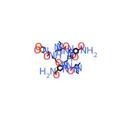 CCn1nc(C)cc1C(=O)Nc1nc2cc(C(N)=O)cc(OCCCNC(=O)CN3CCS(=O)(=O)CC3)c2n1CCC[C@H]1COc2cc(C(N)=O)cc3nc(NC(=O)c4cc(C)nn4CC)n1c23